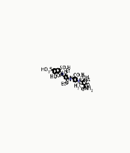 CCOc1cc(/N=N/c2c(S(=O)(=O)O)cc3cc(S(=O)(=O)O)cc(O)c3c2O)c(OCC)cc1/N=N/c1ccc(/N=N/c2c(C)c(C(N)=O)c(=O)n(CC)c2O)cc1C(=O)O